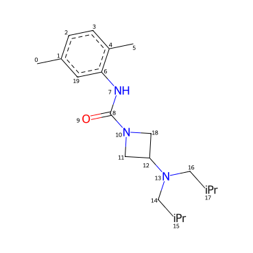 Cc1ccc(C)c(NC(=O)N2CC(N(CC(C)C)CC(C)C)C2)c1